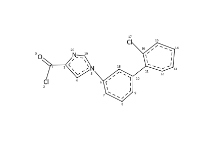 O=C(Cl)c1cn(-c2cccc(-c3ccccc3Cl)c2)cn1